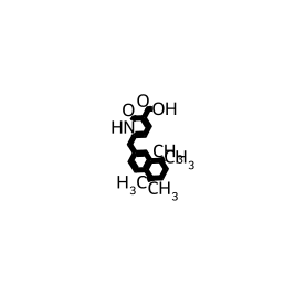 CC1(C)CCC(C)(C)c2cc(Cc3ccc(C(=O)O)c(=O)[nH]3)ccc21